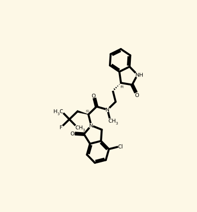 CN(CC[C@H]1C(=O)Nc2ccccc21)C(=O)[C@H](CC(C)(C)F)N1Cc2c(Cl)cccc2C1=O